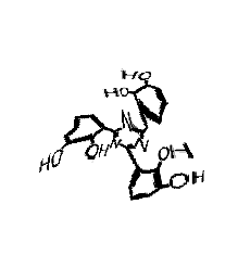 Oc1cccc(-c2nc(-c3cccc(O)c3O)nc(-c3cccc(O)c3O)n2)c1O